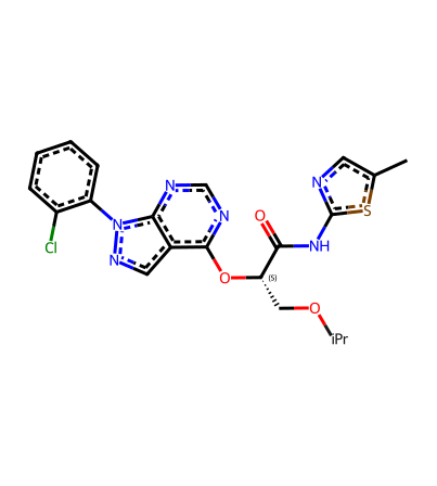 Cc1cnc(NC(=O)[C@H](COC(C)C)Oc2ncnc3c2cnn3-c2ccccc2Cl)s1